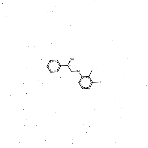 Cc1c(Cl)ncnc1NC[C@H](O)c1ccccc1